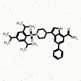 CC(C)c1cc(C(C)C)c(S(=O)(=O)N2CCC(c3c[nH]c4c(C(N)=O)cc(-c5ccccc5)cc34)CC2)c(C(C)C)c1